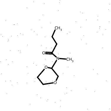 CCCC(=O)N(C)C1COCCO1